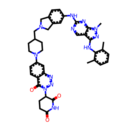 Cc1cccc(C)c1Nc1nn(C)c2nc(Nc3ccc4c(c3)CN(CC3CCN(c5ccc6c(=O)n(C7CCC(=O)NC7=O)nnc6c5)CC3)C4)ncc12